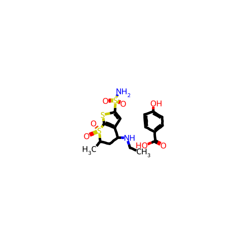 CCNC1CC(C)S(=O)(=O)c2sc(S(N)(=O)=O)cc21.O=C(O)c1ccc(O)cc1